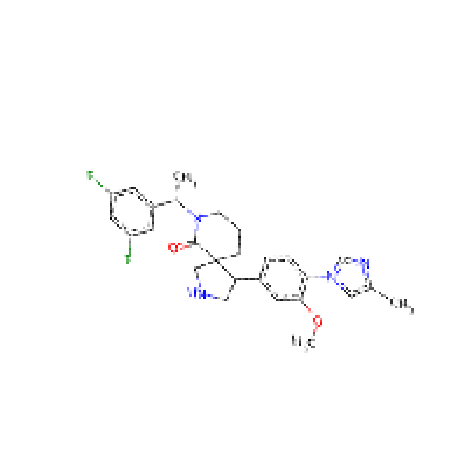 COc1cc(C2CNCC23CCCN([C@@H](C)c2cc(F)cc(F)c2)C3=O)ccc1-n1cnc(C)c1